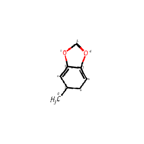 CC1C=C2OCOC2=CC1